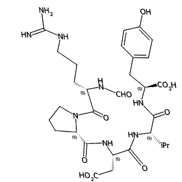 CC(C)[C@H](NC(=O)[C@H](CC(=O)O)NC(=O)[C@@H]1CCCN1C(=O)[C@H](CCCNC(=N)N)NC=O)C(=O)N[C@@H](Cc1ccc(O)cc1)C(=O)O